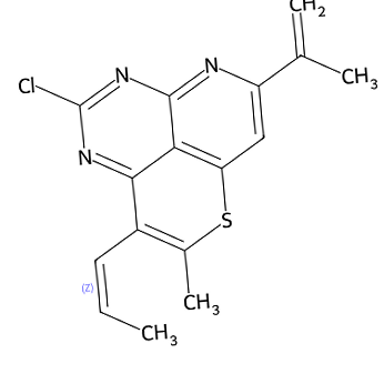 C=C(C)c1cc2c3c(nc(Cl)nc3n1)C(/C=C\C)=C(C)S2